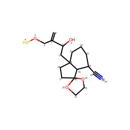 C=C(COS)C(O)CC12CCCC(C#N)C1C1(CC2)OCCO1